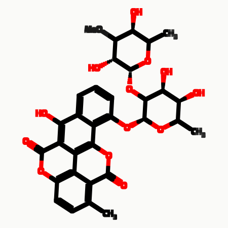 COC1[C@@H](O)C(C)O[C@H](OC2[C@H](Oc3cccc4c(O)c5c(=O)oc6ccc(C)c7c(=O)oc(c34)c5c67)OC(C)[C@H](O)[C@@H]2O)[C@@H]1O